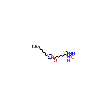 CC(C)(C)CCCCCCN1CCN(C(=O)CCCCC2SCC3NC(=O)NC32)CC1